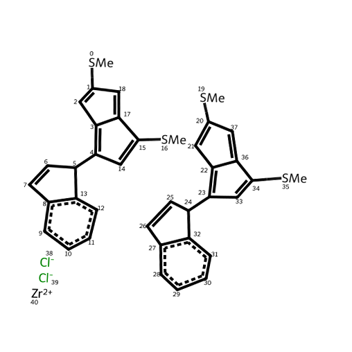 CSC1=CC2=C(C3C=Cc4ccccc43)C=C(SC)C2=C1.CSC1=CC2=C(C3C=Cc4ccccc43)C=C(SC)C2=C1.[Cl-].[Cl-].[Zr+2]